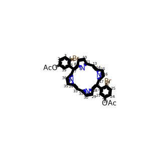 CC(=O)Oc1ccc(Br)c(C2=C3C=CC(=N3)C=C3C=CC(=N3)C(c3cc(OC(C)=O)ccc3Br)=C3C=CC(=N3)C=C3C=CC2=N3)c1